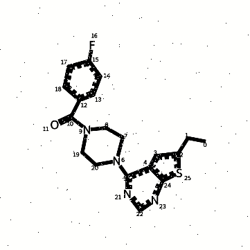 CCc1cc2c(N3CCN(C(=O)c4ccc(F)cc4)CC3)ncnc2s1